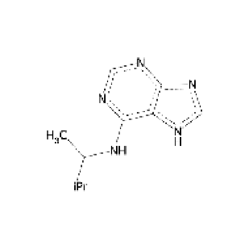 CC(C)C(C)Nc1ncnc2nc[nH]c12